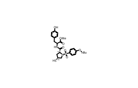 CCCCOc1ccc(S(=O)(=O)N2C[C@@H](S)C[C@H]2C(=O)NC(Cc2ccc(O)cc2)C(=O)OC)cc1